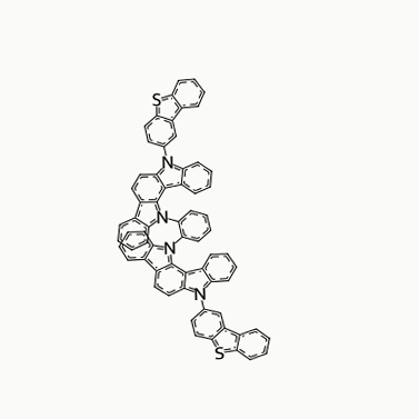 c1ccc(-n2c3ccccc3c3ccc4c(c5ccccc5n4-c4ccc5sc6ccccc6c5c4)c32)c(-n2c3ccccc3c3ccc4c(c5ccccc5n4-c4ccc5sc6ccccc6c5c4)c32)c1